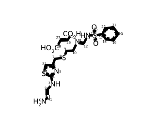 NN=CNc1nc(CSCCN=CNS(=O)(=O)c2ccccc2)cs1.O=C(O)C=CC(=O)O